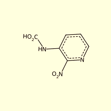 O=C(O)Nc1cccnc1[N+](=O)[O-]